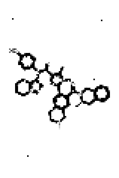 Cc1c(C(=O)N(c2ccc(O)cc2)c2cnn3c2CCCC3)cc(-c2cc3c(cc2C(=O)N2Cc4ccccc4C[C@H]2C)CNCC3)n1C